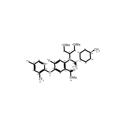 COCC(COC)N(c1cc(F)c(Oc2ncc(I)cc2C(F)(F)F)cc1C(=O)OC)C(=O)[C@H]1CC[C@H](C)CC1